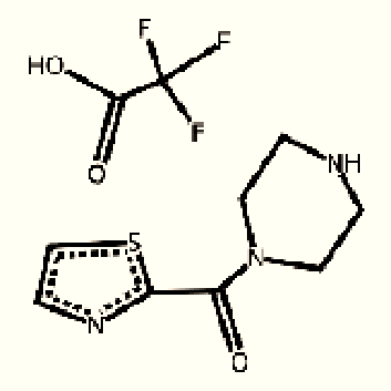 O=C(O)C(F)(F)F.O=C(c1nccs1)N1CCNCC1